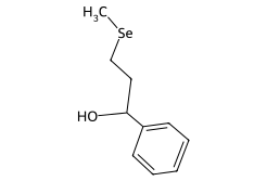 C[Se]CCC(O)c1ccccc1